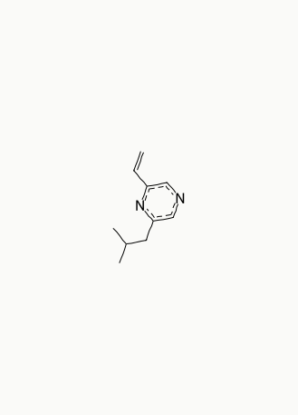 C=Cc1cncc(CC(C)C)n1